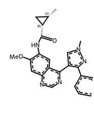 COc1cc2ncnc(-c3cn(C)nc3-c3ccccc3)c2cc1NC(=O)[C@@H]1C[C@@H]1C